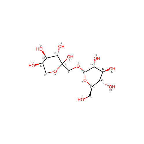 OC[C@H]1OC(OCC2(O)OC[C@@H](O)[C@@H](O)[C@@H]2O)[C@H](O)[C@@H](O)[C@@H]1O